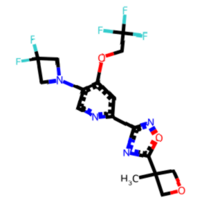 CC1(c2nc(-c3cc(OCC(F)(F)F)c(N4CC(F)(F)C4)cn3)no2)COC1